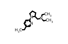 CCc1ccc(N2CCCC2CN(CC)CC)nc1